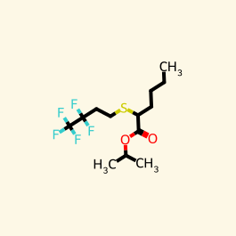 CCCCC(SCCC(F)(F)C(F)(F)F)C(=O)OC(C)C